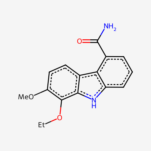 CCOc1c(OC)ccc2c1[nH]c1cccc(C(N)=O)c12